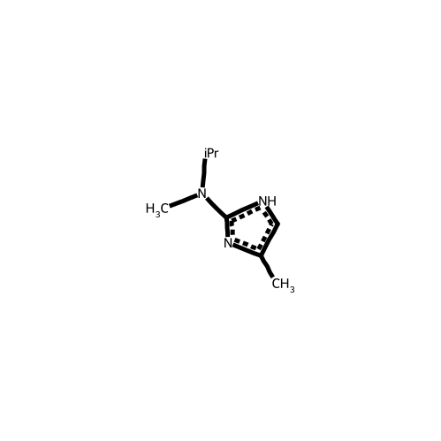 Cc1c[nH]c(N(C)C(C)C)n1